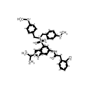 COc1ccc(CN(Cc2ccc(OC)cc2)S(=O)(=O)c2cc(NC(=O)Cc3ccccc3Cl)cc3nn(C(C)C)cc23)cc1